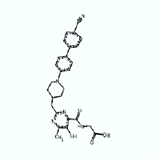 Cc1nc(CC2CCN(c3ccc(-c4ccc(C#N)cc4)cc3)CC2)nc(C(=O)NCC(=O)O)c1O